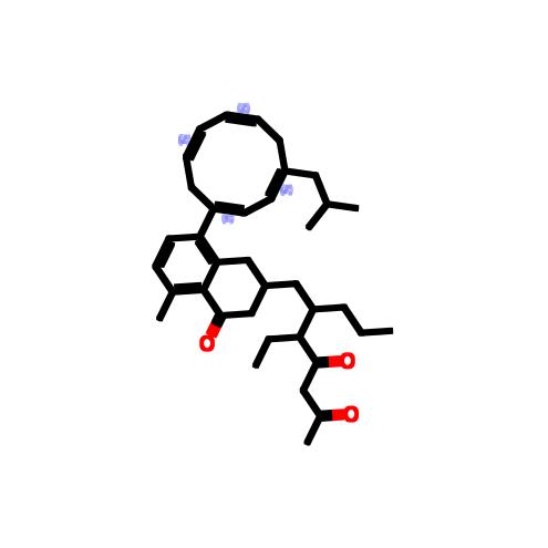 CCCC(CC1CC(=O)c2c(C)ccc(/C3=C/C=C(/CC(C)C)C/C=C\C=C/C3)c2C1)C(CC)C(=O)CC(C)=O